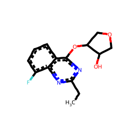 CCc1nc(OC2COCC2O)c2cccc(F)c2n1